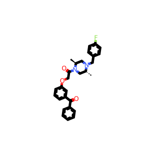 C[C@@H]1CN(C(=O)COc2cccc(C(=O)c3ccccc3)c2)[C@@H](C)CN1Cc1ccc(F)cc1